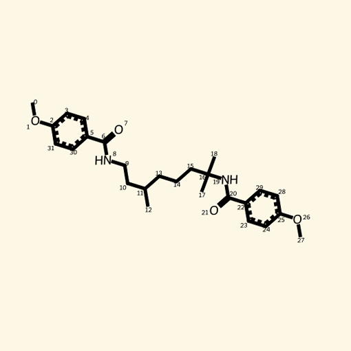 COc1ccc(C(=O)NCCC(C)CCCC(C)(C)NC(=O)c2ccc(OC)cc2)cc1